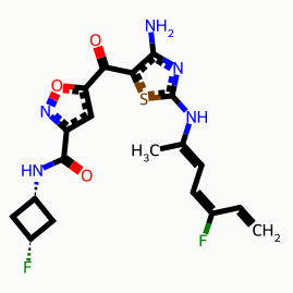 C=C/C(F)=C\C=C(/C)Nc1nc(N)c(C(=O)c2cc(C(=O)N[C@H]3C[C@@H](F)C3)no2)s1